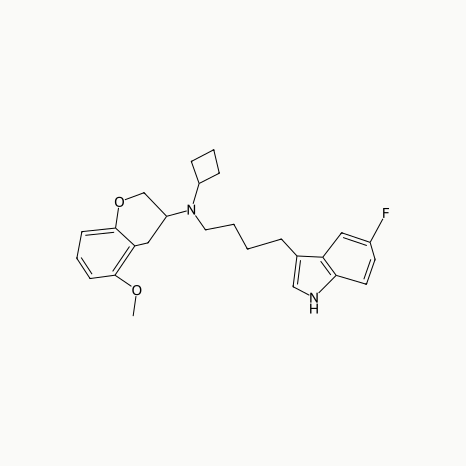 COc1cccc2c1CC(N(CCCCc1c[nH]c3ccc(F)cc13)C1CCC1)CO2